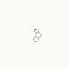 CC(C)c1cc2c(ccc3c2cc(C(C)C)n3C)[nH]1